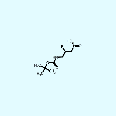 CC(C)(C)OC(=O)NC[C@@H](F)C[PH](=O)O